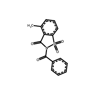 Cc1cccc2c1C(=O)N(C(=O)c1ccccc1)S2(=O)=O